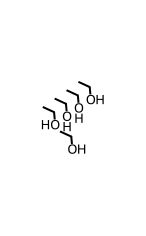 CCO.CCO.CCO.CCO.CCO